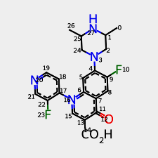 CC1CN(c2cc3c(cc2F)c(=O)c(C(=O)O)cn3-c2ccncc2F)CC(C)N1